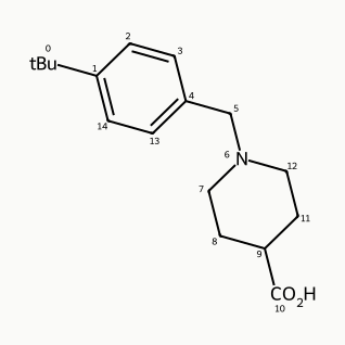 CC(C)(C)c1ccc(CN2CCC(C(=O)O)CC2)cc1